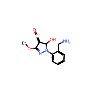 CCOC1=NN(c2ccccc2CN)C(O)C1=C=O